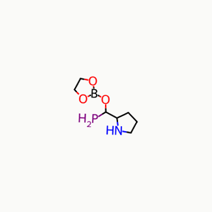 PC(OB1OCCO1)C1CCCN1